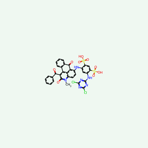 Cn1c(=O)c(C(=O)c2ccccc2)c2c3c(c(Nc4cc(Nc5nc(Cl)nc(Cl)n5)c(S(=O)(=O)O)cc4S(=O)(=O)O)ccc31)C(=O)c1ccccc1-2